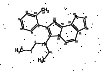 CCCN(CC)c1c(-c2ccccc2C)nc2c3sccc3ccn12